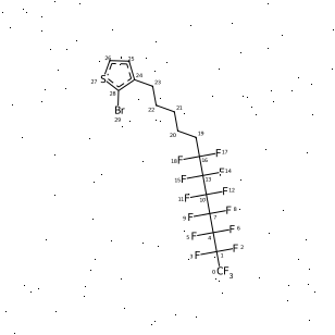 FC(F)(F)C(F)(F)C(F)(F)C(F)(F)C(F)(F)C(F)(F)C(F)(F)CCCCCc1ccsc1Br